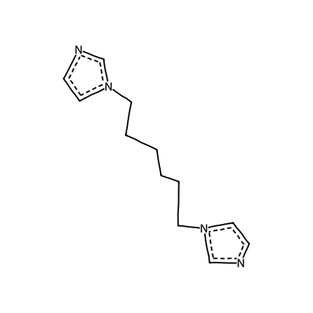 c1cn(CCCCCCn2ccnc2)cn1